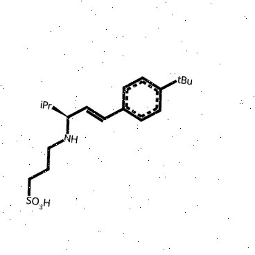 CC(C)[C@@H](/C=C/c1ccc(C(C)(C)C)cc1)NCCCS(=O)(=O)O